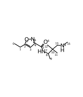 CCc1cc(C(=O)NC(C)C(C)(C)CNC)no1